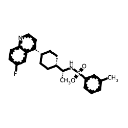 Cc1cccc(S(=O)(=O)N[C@H](C)[C@H]2CC[C@@H](c3ccnc4ccc(F)cc43)CC2)c1